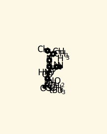 CC1(C)CCC(CN2CCN(c3ccc(C(=O)NS(=O)(=O)c4ccc(NCC5(CO[Si](C)(C)C(C)(C)C)COC5)c([N+](=O)[O-])c4)c(Oc4cnc5[nH]ccc5c4)c3)CC2)=C(c2ccc(Cl)cc2)C1